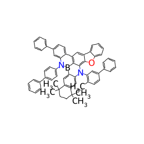 Cc1ccc(-c2ccccc2)cc1N1c2cc3c(cc2B2c4c(cc5c(oc6ccccc65)c41)-c1ccc(-c4ccccc4)cc1N2c1ccc(-c2ccccc2)cc1)C(C)(C)CCC3(C)C